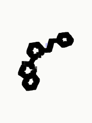 C(=C\c1cccc(-c2ncc3ccccc3n2)n1)/c1ccccc1